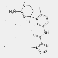 Cn1ccnc1C(=O)Nc1ccc(F)c(C2(C)CCSC(N)=N2)c1